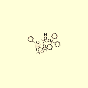 CC1(C)O[C@H]2O[C@H]([C@](C)(O)COC(c3ccccc3)(c3ccccc3)c3ccccc3)[C@H](OCc3ccccc3)[C@H]2O1